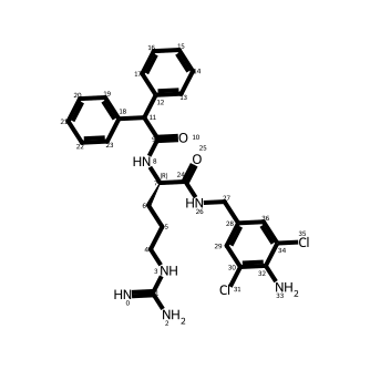 N=C(N)NCCC[C@@H](NC(=O)C(c1ccccc1)c1ccccc1)C(=O)NCc1cc(Cl)c(N)c(Cl)c1